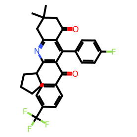 CC1(C)CC(=O)c2c(nc(C3CCCC3)c(C(=O)c3ccc(C(F)(F)F)cc3)c2-c2ccc(F)cc2)C1